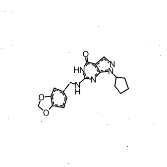 O=c1[nH]c(NCc2ccc3c(c2)OCO3)nc2c1cnn2C1CCCC1